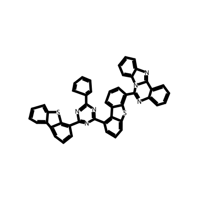 c1ccc(-c2nc(-c3cccc4c3sc3ccccc34)nc(-c3cccc4sc5c(-c6nc7ccccc7c7nc8ccccc8n67)cccc5c34)n2)cc1